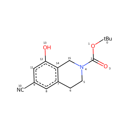 CC(C)(C)OC(=O)N1CCc2cc(C#N)cc(O)c2C1